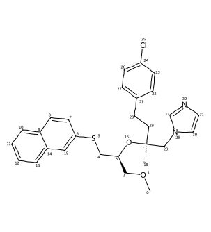 COC[C@@H](CSc1ccc2ccccc2c1)O[C@@](C)(CCc1ccc(Cl)cc1)Cn1ccnc1